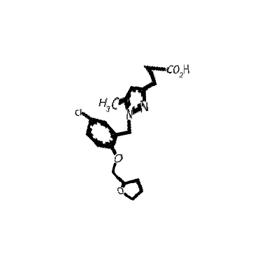 Cc1cc(CCC(=O)O)nn1Cc1cc(Cl)ccc1OCC1CCCO1